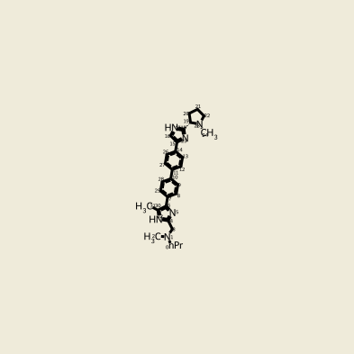 CCCN(C)Cc1nc(-c2ccc(-c3ccc(-c4c[nH]c([C@@H]5CCCN5C)n4)cc3)cc2)c(C)[nH]1